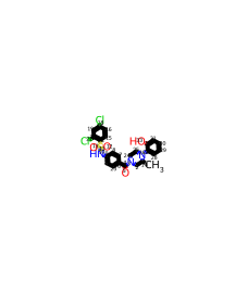 CC1CN(C(=O)c2ccc(NS(=O)(=O)c3ccc(Cl)cc3Cl)cc2)CCN1c1ccccc1O